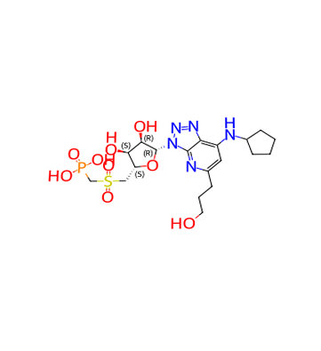 O=P(O)(O)CS(=O)(=O)C[C@H]1O[C@@H](n2nnc3c(NC4CCCC4)cc(CCCO)nc32)[C@H](O)[C@@H]1O